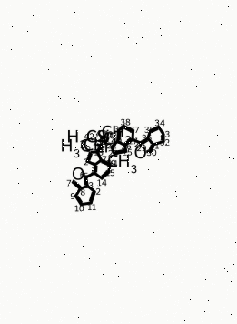 CC1=Cc2c(-c3occ4ccccc34)cccc2[CH]1[Zr]([Cl])([Cl])([CH]1C(C)=Cc2c(-c3occ4ccccc34)cccc21)=[Si](C)C